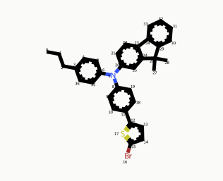 CCCc1ccc(N(c2ccc(-c3ccc(Br)s3)cc2)c2ccc3c(c2)C(C)(C)c2ccccc2-3)cc1